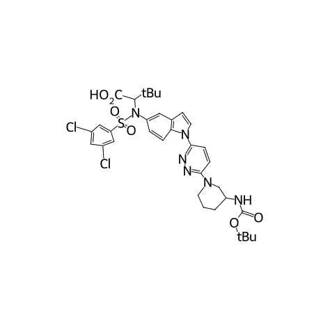 CC(C)(C)OC(=O)NC1CCCN(c2ccc(-n3ccc4cc(N(C(C(=O)O)C(C)(C)C)S(=O)(=O)c5cc(Cl)cc(Cl)c5)ccc43)nn2)C1